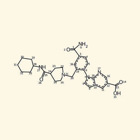 NC(=O)c1ccc(-n2ccc3cc(C(=O)O)cnc32)c(CN2CCC(C(=O)NC3CCCCC3)CC2)c1